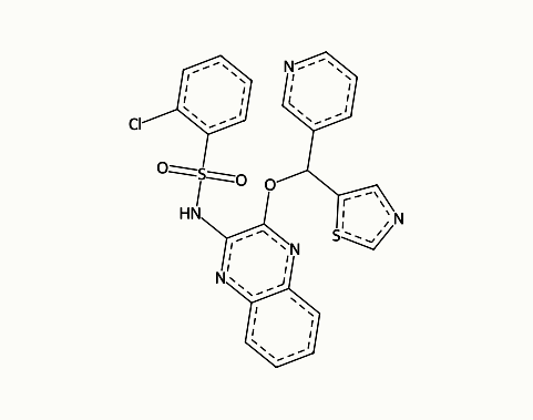 O=S(=O)(Nc1nc2ccccc2nc1OC(c1cccnc1)c1cncs1)c1ccccc1Cl